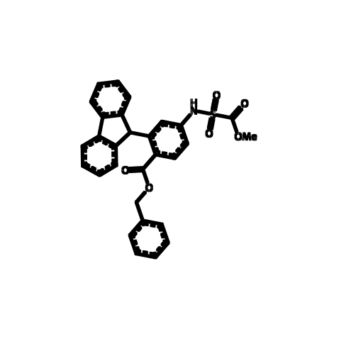 COC(=O)S(=O)(=O)Nc1ccc(C(=O)OCc2ccccc2)c(C2c3ccccc3-c3ccccc32)c1